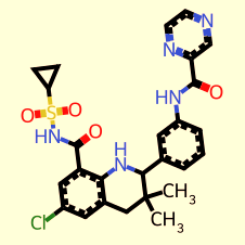 CC1(C)Cc2cc(Cl)cc(C(=O)NS(=O)(=O)C3CC3)c2NC1c1cccc(NC(=O)c2cnccn2)c1